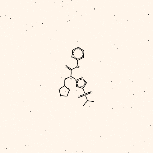 CC(C)S(=O)(=O)c1cnn([C@@H](CC2CCCC2)C(=O)Nc2ccccn2)c1